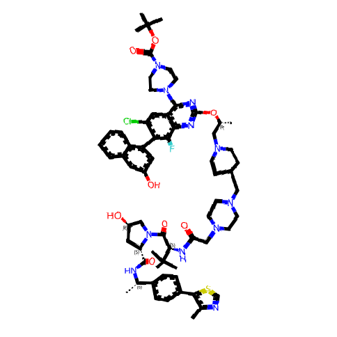 Cc1ncsc1-c1ccc([C@H](C)NC(=O)[C@@H]2C[C@@H](O)CN2C(=O)[C@@H](NC(=O)CN2CCN(CC3CCN(C[C@@H](C)Oc4nc(N5CCN(C(=O)OC(C)(C)C)CC5)c5cc(Cl)c(-c6cc(O)cc7ccccc67)c(F)c5n4)CC3)CC2)C(C)(C)C)cc1